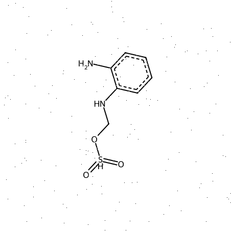 Nc1ccccc1NCO[SH](=O)=O